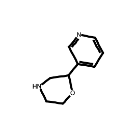 [c]1ncccc1C1CNCCO1